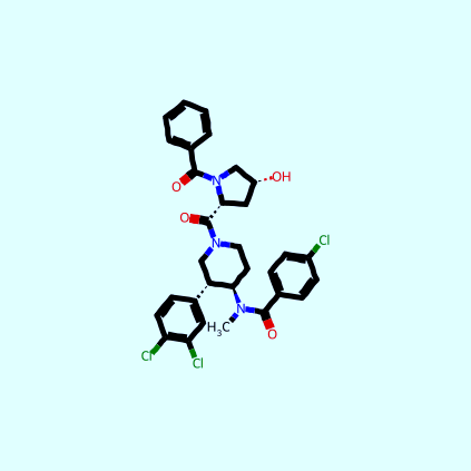 CN(C(=O)c1ccc(Cl)cc1)[C@@H]1CCN(C(=O)[C@H]2C[C@@H](O)CN2C(=O)c2ccccc2)C[C@H]1c1ccc(Cl)c(Cl)c1